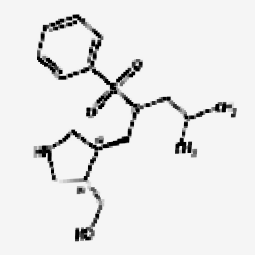 CC(C)CN(C[C@@H]1CNC[C@H]1CO)S(=O)(=O)c1ccccc1